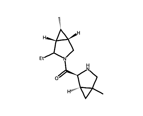 CCC1[C@@H]2[C@H](C)[C@@H]2CN1C(=O)[C@H]1NCC2(C)C[C@@H]12